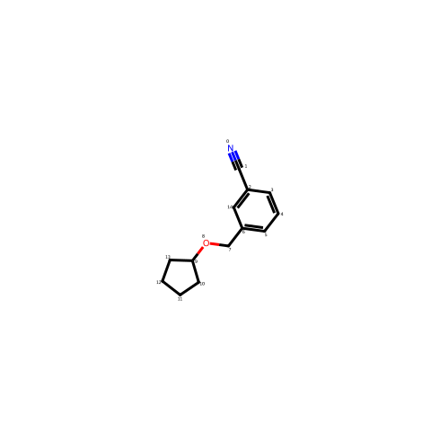 N#Cc1cccc(COC2CCCC2)c1